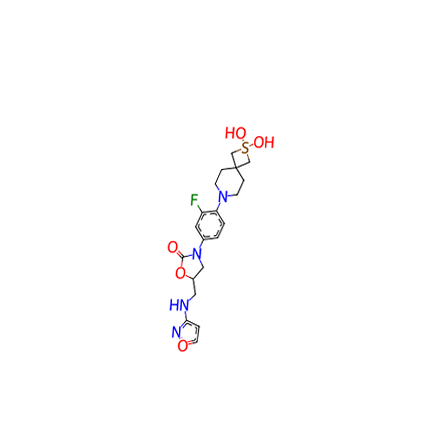 O=C1OC(CNc2ccon2)CN1c1ccc(N2CCC3(CC2)CS(O)(O)C3)c(F)c1